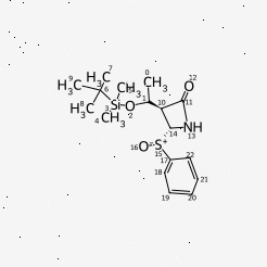 CC(O[Si](C)(C)C(C)(C)C)[C@H]1C(=O)N[C@@H]1[S+]([O-])c1ccccc1